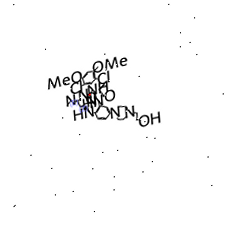 C=CC(=O)Nc1cc(N2CCN(CCO)CC2)ccc1N/C(=C/C(=N\C)N(C)C(=O)Nc1c(Cl)c(OC)cc(OC)c1Cl)N=C